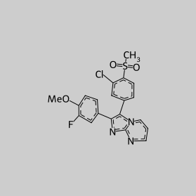 COc1ccc(-c2nc3ncccn3c2-c2ccc(S(C)(=O)=O)c(Cl)c2)cc1F